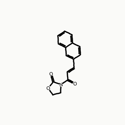 O=C(C=Cc1ccc2ccccc2c1)N1CCOC1=O